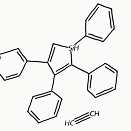 C#C.C1=C(c2ccccc2)C(c2ccccc2)=C(c2ccccc2)[SiH]1c1ccccc1